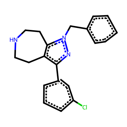 Clc1cccc(-c2nn(Cc3ccccc3)c3c2CCNCC3)c1